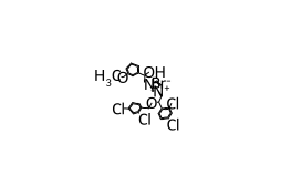 COc1cccc(C(O)Cn2cc[n+](CC(OCc3ccc(Cl)cc3Cl)c3ccc(Cl)cc3Cl)c2)c1.[Br-]